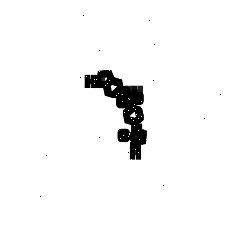 O=C1NCCN1c1ccc(S(=O)(=O)Nc2ccc3[nH]ccc3c2)cc1